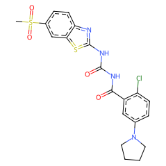 CS(=O)(=O)c1ccc2nc(NC(=O)NC(=O)c3cc(N4CCCC4)ccc3Cl)sc2c1